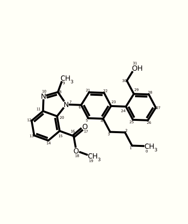 CCCCc1cc(-n2c(C)nc3cccc(C(=O)OC)c32)ccc1-c1ccccc1CO